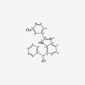 CCC(c1ccccc1)c1cccc2nc(-c3cccc(Cl)c3)[nH]c12